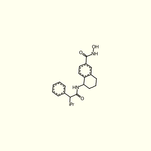 CC(C)C(C(=O)NC1CCCc2cc(C(=O)NO)ccc21)c1ccccc1